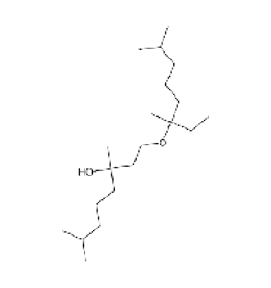 CCC(C)(CCCC(C)C)OCCC(C)(O)CCCC(C)C